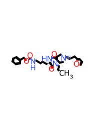 CCCN1C(=O)[C@H](CCCCNC(=O)OCc2ccccc2)NC(=O)C12CCN(/C=C/Cc1ccco1)CC2